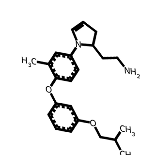 Cc1cc(N2C=CCC2CCN)ccc1Oc1cccc(OCC(C)C)c1